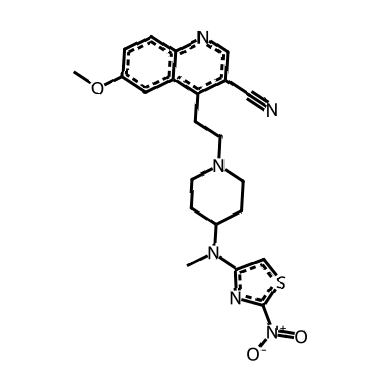 COc1ccc2ncc(C#N)c(CCN3CCC(N(C)c4csc([N+](=O)[O-])n4)CC3)c2c1